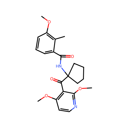 COc1cccc(C(=O)NC2(C(=O)c3c(OC)ccnc3OC)CCCC2)c1C